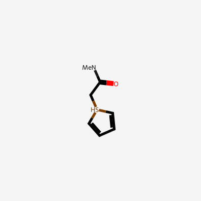 CNC(=O)C[SH]1C=CC=C1